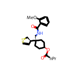 CCCC(=O)O[C@H]1CC[C@@](CNC(=O)c2ccccc2OC)([C@H]2C=CSC2)CC1